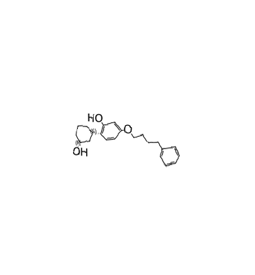 Oc1cc(OCCCCc2ccccc2)ccc1[C@H]1CCC[C@@H](O)C1